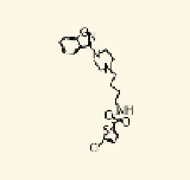 O=S(=O)(NCCCCN1CCN(c2noc3ccccc23)CC1)c1ccc(Cl)s1